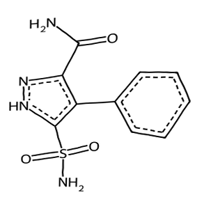 NC(=O)c1n[nH]c(S(N)(=O)=O)c1-c1ccccc1